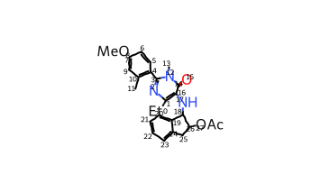 CCc1nc(-c2ccc(OC)cc2C)n(C)c(=O)c1NC1c2ccccc2CC1OC(C)=O